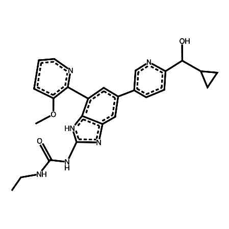 CCNC(=O)Nc1nc2cc(-c3ccc(C(O)C4CC4)nc3)cc(-c3ncccc3OC)c2[nH]1